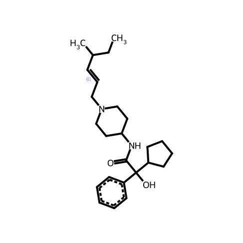 CCC(C)/C=C/CN1CCC(NC(=O)C(O)(c2ccccc2)C2CCCC2)CC1